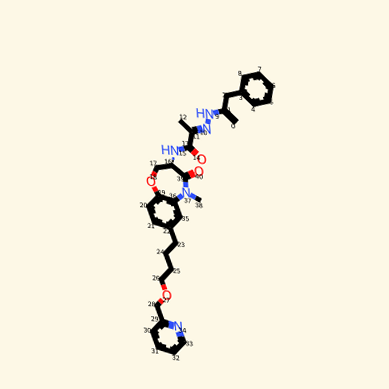 C=C(Cc1ccccc1)N/N=C(\C)C(=O)N[C@H]1COc2ccc(CCCCOCc3ccccn3)cc2N(C)C1=O